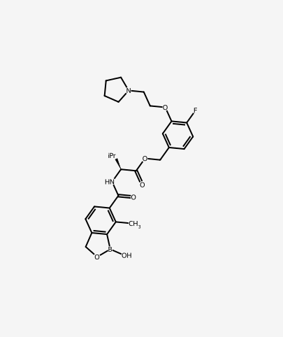 Cc1c(C(=O)N[C@H](C(=O)OCc2ccc(F)c(OCCN3CCCC3)c2)C(C)C)ccc2c1B(O)OC2